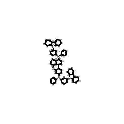 c1ccc(N(c2cccc(-n3c4ccccc4c4ccccc43)c2)c2ccc3c(c2)Sc2cccc4c(N(c5ccccc5)c5cccc(-n6c7ccccc7c7ccccc76)c5)ccc-3c24)cc1